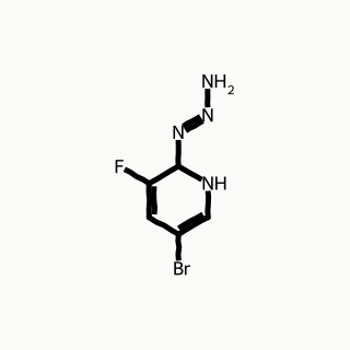 NN=NC1NC=C(Br)C=C1F